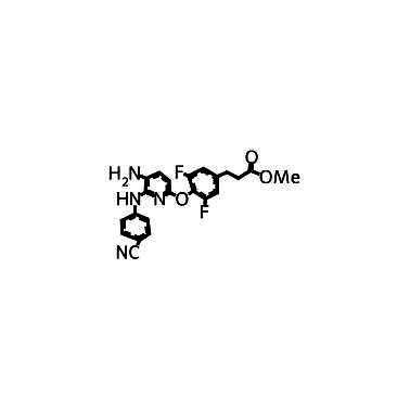 COC(=O)CCc1cc(F)c(Oc2ccc(N)c(Nc3ccc(C#N)cc3)n2)c(F)c1